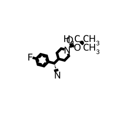 CC(C)(C)OC(=O)N1CCC([C@H](C#N)c2ccc(F)cc2)CC1